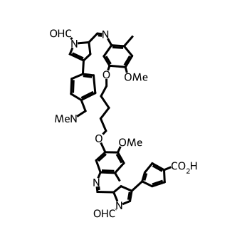 CNCc1ccc(C2=CN(C=O)C(/C=N\c3cc(OCCCCCOc4cc(/N=C\C5CC(c6ccc(C(=O)O)cc6)=CN5C=O)c(C)cc4OC)c(OC)cc3C)C2)cc1